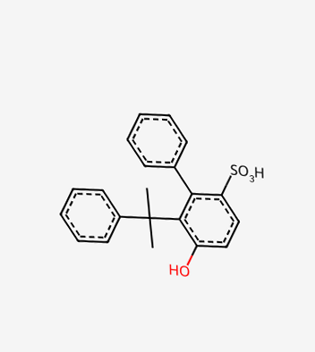 CC(C)(c1ccccc1)c1c(O)ccc(S(=O)(=O)O)c1-c1ccccc1